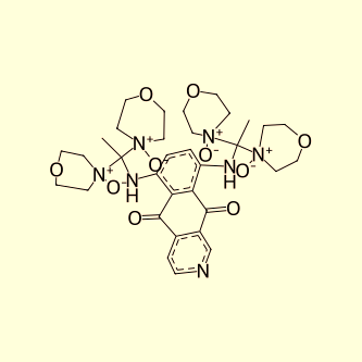 CC(Nc1ccc(NC(C)([N+]2([O-])CCOCC2)[N+]2([O-])CCOCC2)c2c1C(=O)c1ccncc1C2=O)([N+]1([O-])CCOCC1)[N+]1([O-])CCOCC1